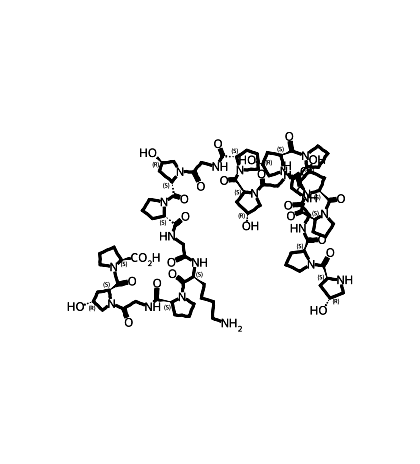 NCCCC[C@H](NC(=O)CNC(=O)[C@@H]1CCCN1C(=O)[C@@H]1C[C@@H](O)CN1C(=O)CNC(=O)[C@@H]1CCCN1C(=O)[C@@H]1C[C@@H](O)CN1C(=O)CNC(=O)[C@@H]1CCCN1C(=O)[C@@H]1C[C@@H](O)CN1C(=O)CNC(=O)[C@@H]1CCCN1C(=O)[C@@H]1C[C@@H](O)CN1C(=O)CNC(=O)[C@@H]1CCCN1C(=O)[C@@H]1C[C@@H](O)CN1)C(=O)N1CCC[C@H]1C(=O)NCC(=O)N1C[C@H](O)C[C@H]1C(=O)N1CCC[C@H]1C(=O)O